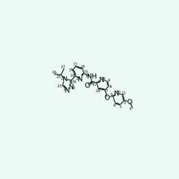 COc1ccc(Oc2ccnc(C(=O)Nc3cccc(-c4nncn4C(C)C)n3)c2)nc1